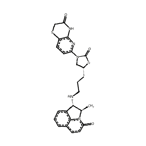 C[C@@H]1[C@@H](NCCC[C@@H]2CN(c3ccc4c(n3)NC(=O)CS4)C(=O)O2)c2cccc3ccc(=O)n1c23